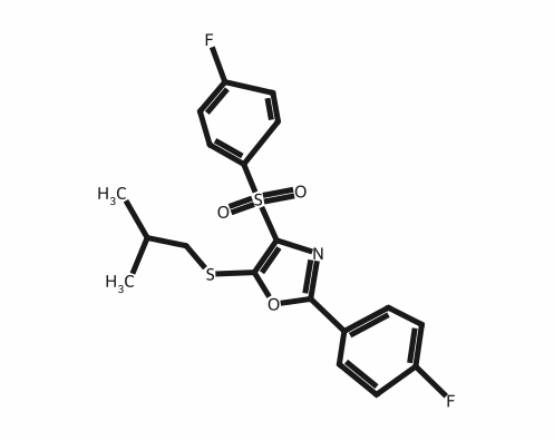 CC(C)CSc1oc(-c2ccc(F)cc2)nc1S(=O)(=O)c1ccc(F)cc1